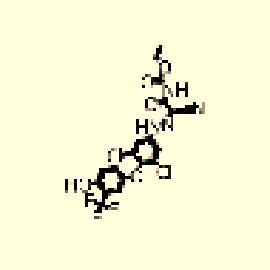 CCOC(=O)NC(=O)C(C#N)=NNc1cc(Cl)c(Oc2ccc(O)c(C(F)(F)F)c2)c(Cl)c1